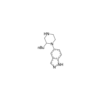 CCCCC1CNCCN1c1ccc2[nH]ncc2c1